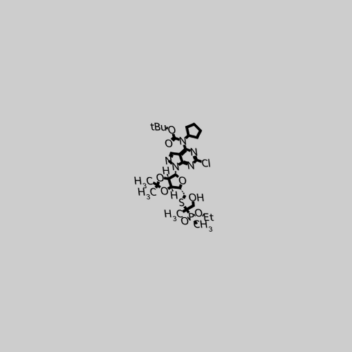 CCOP(C)(=O)C(C)(CO)SC[C@H]1O[C@@H](n2ncc3c(N(C(=O)OC(C)(C)C)C4CCCC4)nc(Cl)nc32)[C@@H]2OC(C)(C)O[C@@H]21